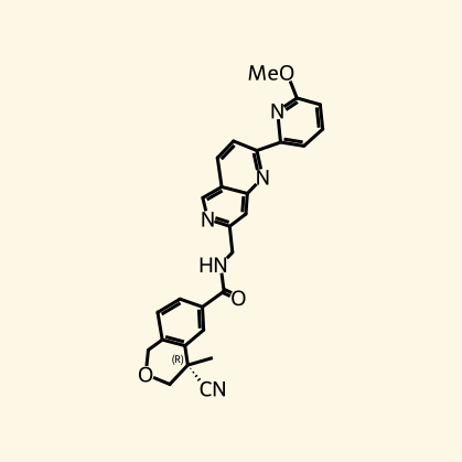 COc1cccc(-c2ccc3cnc(CNC(=O)c4ccc5c(c4)[C@](C)(C#N)COC5)cc3n2)n1